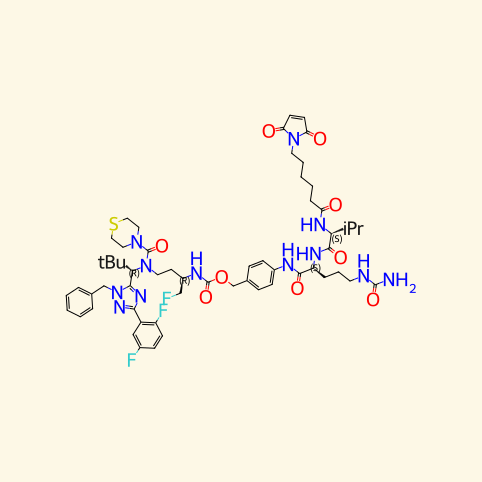 CC(C)[C@H](NC(=O)CCCCCN1C(=O)C=CC1=O)C(=O)N[C@@H](CCCNC(N)=O)C(=O)Nc1ccc(COC(=O)N[C@@H](CF)CCN(C(=O)N2CCSCC2)[C@@H](c2nc(-c3cc(F)ccc3F)nn2Cc2ccccc2)C(C)(C)C)cc1